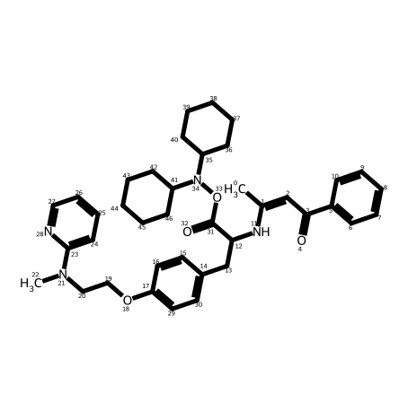 CC(=CC(=O)c1ccccc1)NC(Cc1ccc(OCCN(C)c2ccccn2)cc1)C(=O)ON(C1CCCCC1)C1CCCCC1